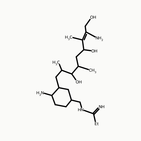 CCC(=N)NCC1CCC(N)C(CC(C)C(O)C(C)CC(O)/C(C)=C(\N)CO)C1